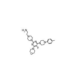 Cc1ccc(N2CCN(c3nc(N4CCN(CCN)CC4)nc(N4CCOCC4)c3F)CC2)cc1